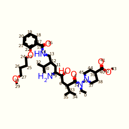 CCN(C(=O)C(CC(O)C(N)CC(CNC(=O)c1ccccc1OCCCCOC)C(C)C)C(C)C)N1CCC(C(=O)OC)CC1